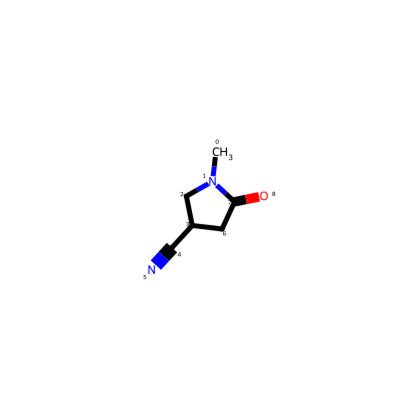 CN1[CH]C(C#N)CC1=O